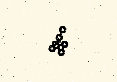 [O-][S+](c1ccc(-c2ccccc2)cc1)c1c(-c2ccccc2)c2ccccc2c2ccccc12